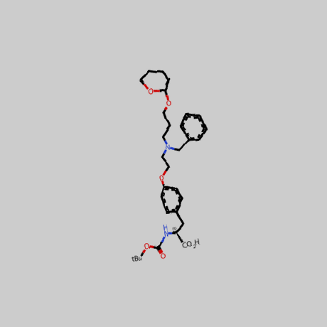 CC(C)(C)OC(=O)N[C@@H](Cc1ccc(OCCN(CCCOC2CCCCO2)Cc2ccccc2)cc1)C(=O)O